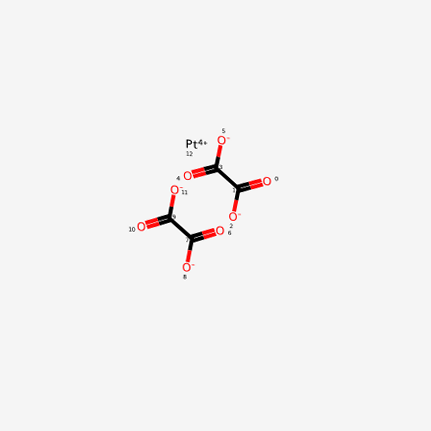 O=C([O-])C(=O)[O-].O=C([O-])C(=O)[O-].[Pt+4]